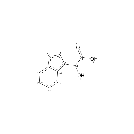 O=C(O)C(O)c1csc2ccccc12